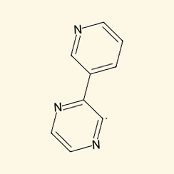 [c]1nccnc1-c1cccnc1